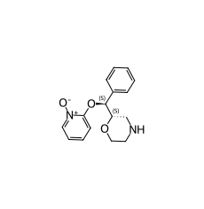 [O-][n+]1ccccc1O[C@@H](c1ccccc1)[C@@H]1CNCCO1